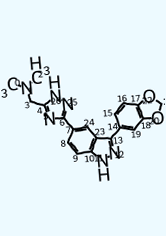 CN(C)Cc1nc(-c2ccc3[nH]nc(-c4ccc5c(c4)OCO5)c3c2)n[nH]1